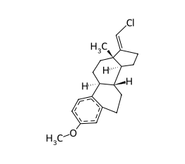 COc1ccc2c(c1)CC[C@@H]1[C@@H]2CC[C@]2(C)C(=CCl)CC[C@@H]12